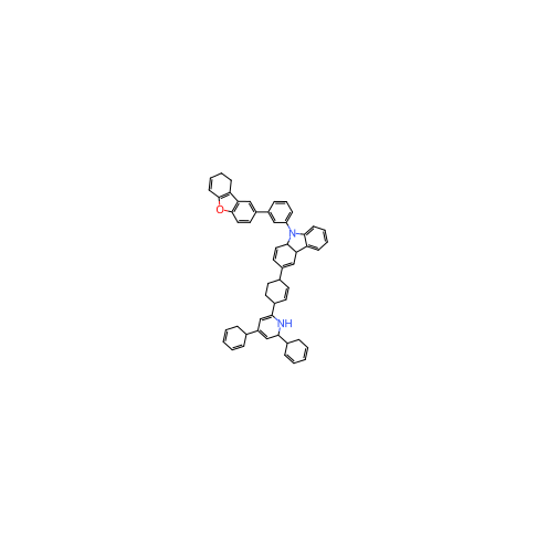 C1=CCC(C2=CC(C3C=CC=CC3)NC(C3C=CC(C4=CC5c6ccccc6N(c6cccc(-c7ccc8oc9c(c8c7)CCC=C9)c6)C5C=C4)CC3)=C2)C=C1